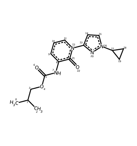 CC(C)COC(=O)Nc1cccn(-c2ccn(C3CC3)n2)c1=O